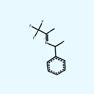 C/C(=N\C(C)c1ccccc1)C(F)(F)F